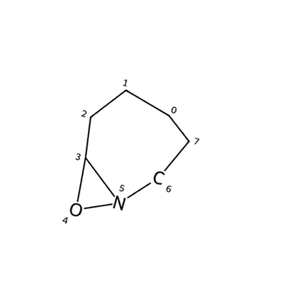 C1CCC2ON2CC1